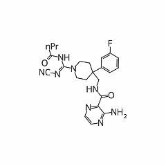 CCCC(=O)N/C(=N\C#N)N1CCC(CNC(=O)c2nccnc2N)(c2cccc(F)c2)CC1